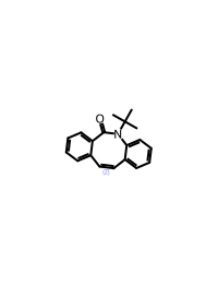 CC(C)(C)N1C(=O)c2ccccc2/C=C\c2ccccc21